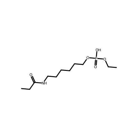 CCOP(=O)(O)OCCCCCCNC(=O)CC